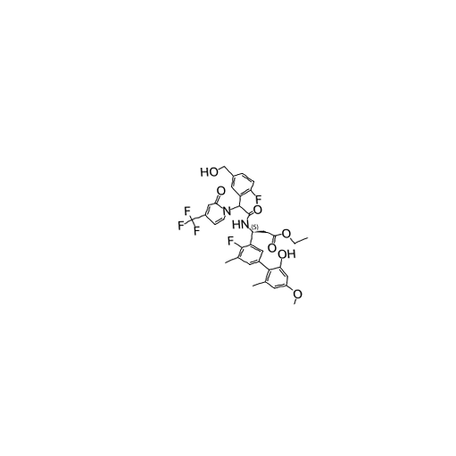 CCOC(=O)C[C@H](NC(=O)C(c1cc(CO)ccc1F)n1ccc(C(F)(F)F)cc1=O)c1cc(-c2c(C)cc(OC)cc2O)cc(C)c1F